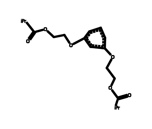 CC(C)C(=O)OCCOc1cccc(OCCOC(=O)C(C)C)c1